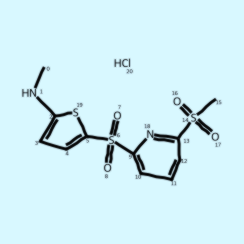 CNc1ccc(S(=O)(=O)c2cccc(S(C)(=O)=O)n2)s1.Cl